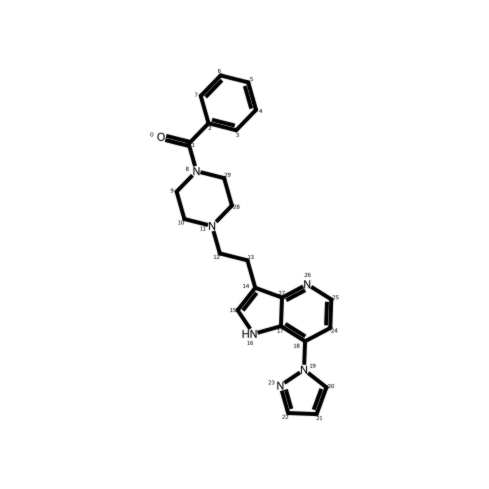 O=C(c1ccccc1)N1CCN(CCc2c[nH]c3c(-n4cccn4)ccnc23)CC1